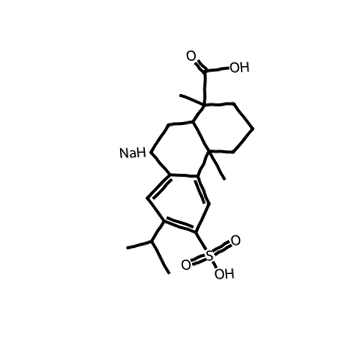 CC(C)c1cc2c(cc1S(=O)(=O)O)C1(C)CCCC(C)(C(=O)O)C1CC2.[NaH]